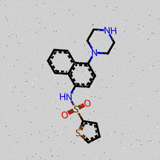 O=S(=O)(Nc1ccc(N2CCNCC2)c2ccccc12)c1cccs1